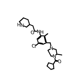 Cc1c(CN2CCN(C(=O)C3CCCC3)C(C)C2)cc(Cl)cc1NC(=O)CC1CCCNC1